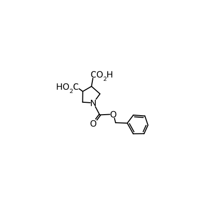 O=C(O)C1CN(C(=O)OCc2ccccc2)CC1C(=O)O